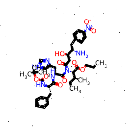 CCCOC(=O)[C@H]([C@@H](C)CC)N(C(=O)CC(O)[C@@H](N)Cc1ccc([N+](=O)[O-])cc1)C(=O)[C@H](Cc1c[nH]cn1)NC(=O)[C@H](Cc1ccccc1)NC(=O)OC(C)(C)C